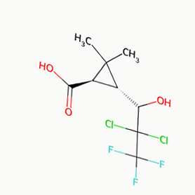 CC1(C)[C@H](C(=O)O)[C@H]1C(O)C(Cl)(Cl)C(F)(F)F